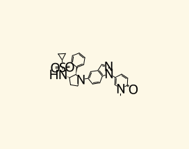 Cn1cc(-n2ncc3cc(N4CC[C@H](NS(=O)(=O)C5CC5)[C@H]4c4ccccc4)ccc32)ccc1=O